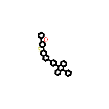 c1ccc(-c2c3ccccc3c(-c3ccc(-c4ccc5cc6sc7cc8c(cc7c6cc5c4)oc4ccccc48)cc3)c3ccccc23)cc1